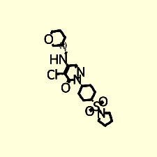 O=c1c(Cl)c(NC[C@H]2CCCOC2)cnn1[C@H]1CC[C@H](S(=O)(=O)N2CCCC2)CC1